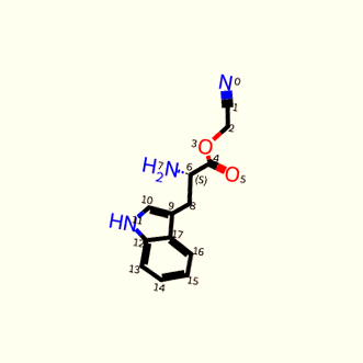 N#CCOC(=O)[C@@H](N)Cc1c[nH]c2ccccc12